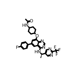 CC(=O)NC1CCC(Oc2cc(-c3ccc(F)cc3)cc3c(N[C@H](C)c4cnc(C(F)(F)F)nc4)ncnc23)CC1